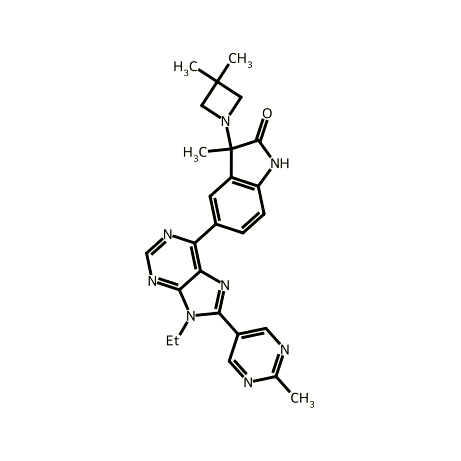 CCn1c(-c2cnc(C)nc2)nc2c(-c3ccc4c(c3)C(C)(N3CC(C)(C)C3)C(=O)N4)ncnc21